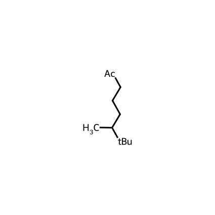 CC(=O)CCCC(C)C(C)(C)C